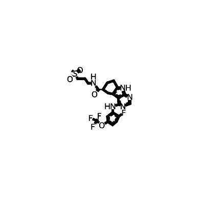 CS(=O)(=O)CCCNC(=O)[C@H]1CCc2[nH]c3ncnc(Nc4cc(OC(F)(F)F)ccc4F)c3c2C1